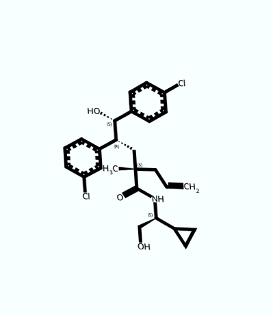 C=CC[C@@](C)(C[C@H](c1cccc(Cl)c1)[C@H](O)c1ccc(Cl)cc1)C(=O)N[C@H](CO)C1CC1